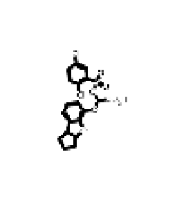 O=C(O)C(Oc1cccc2c1OC1CCCC21)OS(=O)(=O)c1cc(Cl)ccc1Cl